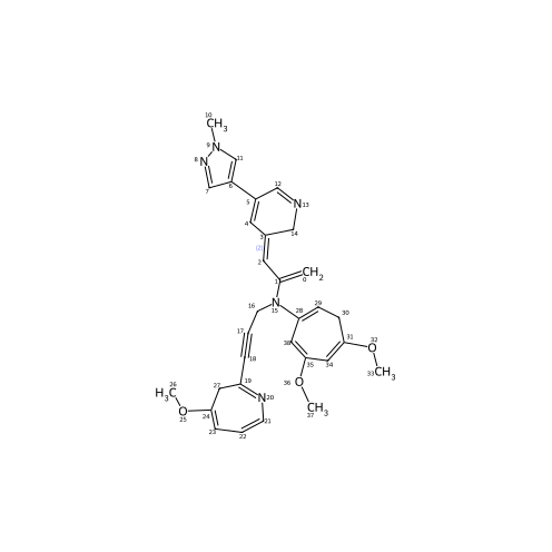 C=C(/C=C1/C=C(c2cnn(C)c2)C=NC1)N(CC#CC1=NC=CC=C(OC)C1)C1=CCC(OC)=CC(OC)=C1